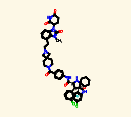 Cn1c(=O)n(C2CCC(=O)NC2=O)c2cccc(CCN3CC4(CCN(C(=O)c5ccc(NC(=O)[C@@H]6NC7(CCCCC7)[C@@]7(C(=O)Nc8cc(Cl)ccc87)[C@H]6c6cccc(Cl)c6F)cc5)CC4)C3)c21